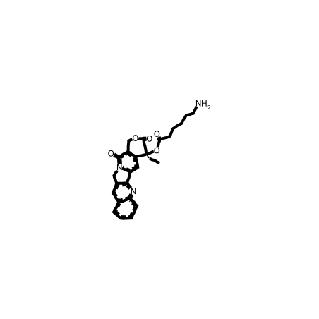 CC[C@@]1(OC(=O)CCCCCN)C(=O)OCc2c1cc1n(c2=O)Cc2cc3ccccc3nc2-1